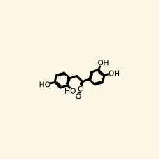 O=C=C(Cc1ccc(O)cc1O)c1ccc(O)c(O)c1